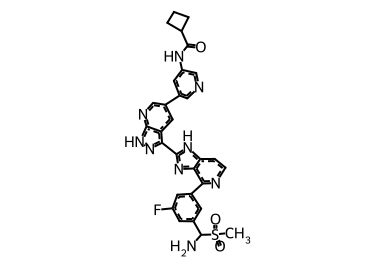 CS(=O)(=O)C(N)c1cc(F)cc(-c2nccc3[nH]c(-c4n[nH]c5ncc(-c6cncc(NC(=O)C7CCC7)c6)cc45)nc23)c1